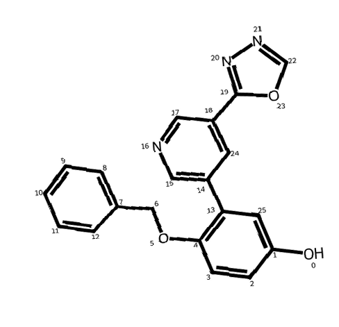 Oc1ccc(OCc2ccccc2)c(-c2cncc(-c3nnco3)c2)c1